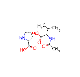 CC(=O)NC(C(=O)O)C(C)C.O=C(O)[C@@H]1CCCN1